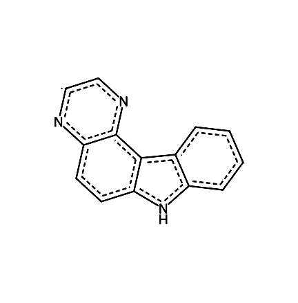 [c]1cnc2c(ccc3[nH]c4ccccc4c32)n1